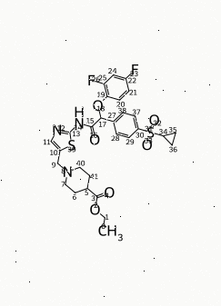 CCOC(=O)C1CCN(Cc2cnc(NC(=O)C(Oc3ccc(F)cc3F)c3ccc(S(=O)(=O)C4CC4)cc3)s2)CC1